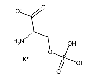 N[C@@H](COP(=O)(O)O)C(=O)[O-].[K+]